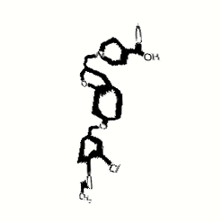 CCOc1ccc(COc2ccc3c(c2)OCC(CN2CC=C(C(=O)O)CC2)=C3)cc1Cl